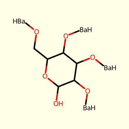 OC1OC(C[O][BaH])C([O][BaH])C([O][BaH])C1[O][BaH]